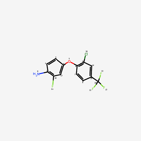 Nc1ccc(Oc2ccc(C(F)(F)F)cc2Cl)cc1F